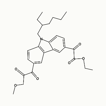 CCCCC(CC)Cn1c2ccc(C(=O)C(=O)COC)cc2c2cc(C(=O)C(=O)OCC)ccc21